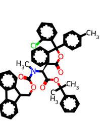 Cc1ccc(C(OC(=O)C[C@@H](C(=O)OC(C)(C)c2ccccc2)N(C)C(=O)OCC2c3ccccc3-c3ccccc32)(c2ccccc2)c2ccccc2Cl)cc1